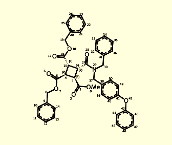 COC(=O)[C@H]1[C@@H](C(=O)OCc2ccccc2)[C@H](C(=O)OCc2ccccc2)[C@@H]1C(=O)N(Cc1ccccc1)Cc1ccc(Oc2ccccc2)cc1